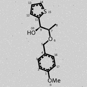 COc1ccc(COC(C)[C@@H](O)c2cccs2)cc1